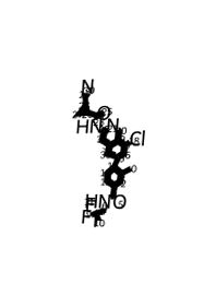 Cc1cc(C(=O)NCC(F)(F)F)ccc1-c1cc(Cl)c2cnc(NC(=O)C3CC3C#N)cc2c1